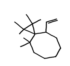 C=CC1CCCCCC(C)(C)C12C(C)(C)C2(C)C